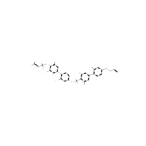 C=CCCc1ccc(-c2cc(F)c(C(F)(F)Oc3ccc(-c4cc(F)c(OC(F)(F)C=C(F)F)c(F)c4)c(F)c3)c(F)c2)c(F)c1